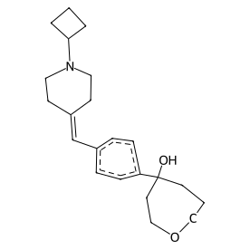 OC1(c2ccc(C=C3CCN(C4CCC4)CC3)cc2)CCCOCC1